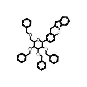 Fc1ccc(C2OC(COCc3ccccc3)C(OCc3ccccc3)C(OCc3ccccc3)C2OCc2ccccc2)cc1Cc1cc2ccccc2s1